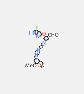 COc1cc(CN2CCN(C3CC4(C3)CN(c3ccc(C=O)c(Oc5cnc6[nH]cc(F)c6c5)c3)C4)CC2)cc2c1OC(C)(C)C=C2